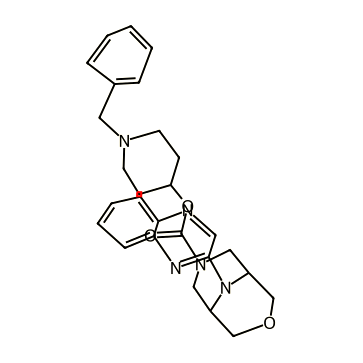 O=C(OC1CCN(Cc2ccccc2)CC1)N1CC2COCC(C1)N2c1cnc2ccccc2n1